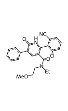 CCN(CCOC)C(=O)c1cc(-c2ccccc2)c(=O)[nH]c1-c1c(Cl)cccc1C#N